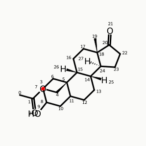 CC(=O)OC[C@]12CCC(O)CC1CC[C@@H]1[C@H]2CC[C@]2(C)C(=O)CC[C@@H]12